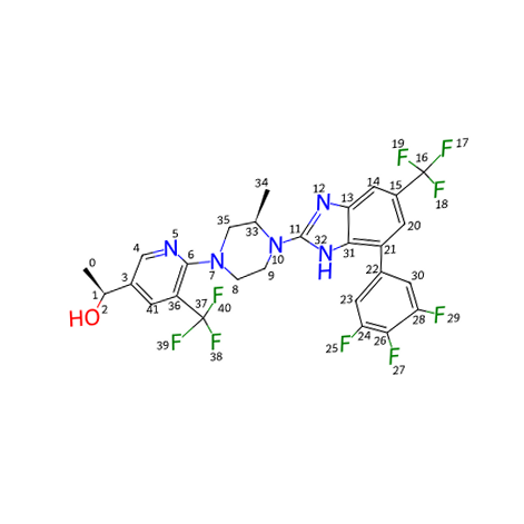 C[C@H](O)c1cnc(N2CCN(c3nc4cc(C(F)(F)F)cc(-c5cc(F)c(F)c(F)c5)c4[nH]3)[C@H](C)C2)c(C(F)(F)F)c1